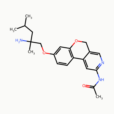 CC(=O)Nc1cc2c(cn1)COc1cc(OCC(C)(N)CC(C)C)ccc1-2